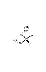 O=P(O)(O)O.[SnH4].[SnH4].[SnH4]